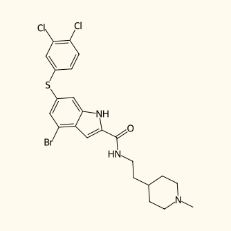 CN1CCC(CCNC(=O)c2cc3c(Br)cc(Sc4ccc(Cl)c(Cl)c4)cc3[nH]2)CC1